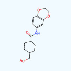 O=C(Nc1ccc2c(c1)OCCO2)[C@H]1CC[C@H](CO)CC1